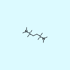 CN(C)S(C)(C)CCS(C)(C)N(C)C